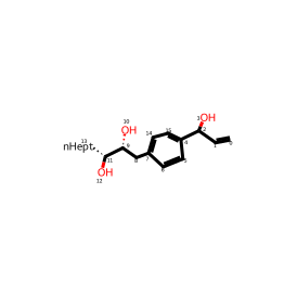 C=CC(O)c1ccc(C[C@@H](O)[C@H](O)CCCCCCC)cc1